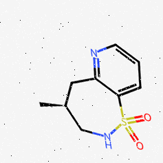 C[C@@H]1CNS(=O)(=O)c2cccnc2C1